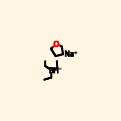 C1CCOC1.CC[BH-](CC)CC.[Na+]